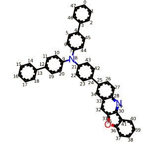 c1ccc(-c2ccc(N(c3ccc(-c4ccccc4)cc3)c3ccc(-c4ccc5nc6c(cc5c4)oc4ccccc46)cc3)cc2)cc1